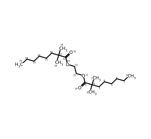 CCCCCCC(C)(C)C(=O)OCCOC(=O)C(C)(C)CCCCCC